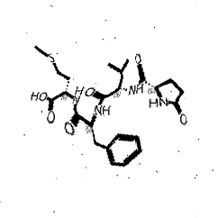 CSCC[C@H](NC(=O)[C@H](Cc1ccccc1)NC(=O)[C@@H](NC(=O)[C@@H]1CCC(=O)N1)C(C)C)C(=O)O